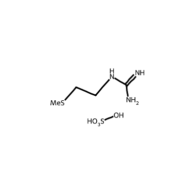 CSCCNC(=N)N.O=S(=O)(O)O